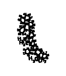 CC1(C)c2ccccc2-c2ccc(N(c3ccccc3)c3ccc4c(c3)C(C)(C)c3cc(-c5c6ccccc6c(-c6cccc7ccccc67)c6ccccc56)ccc3-4)cc21